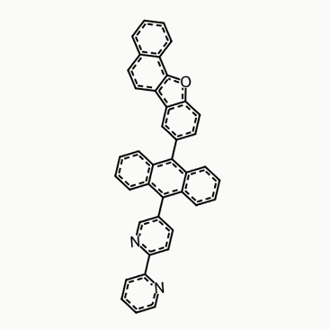 c1ccc(-c2ccc(-c3c4ccccc4c(-c4ccc5oc6c7ccccc7ccc6c5c4)c4ccccc34)cn2)nc1